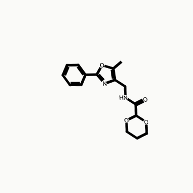 Cc1oc(-c2ccccc2)nc1CNC(=O)C1OCCCO1